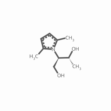 Cc1ccc(C)n1[C@H](CO)[C@@H](C)O